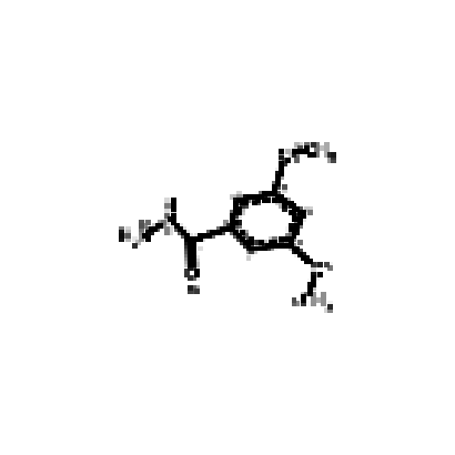 COc1cc(OC)cc(C(=O)NN)c1